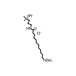 CCCCCCCCCCCCCCCCCCCCCC(=O)NCCC[N+](C)(C)CCC.[Cl-]